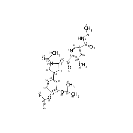 CCNC(=O)c1cnc(C(=O)O[C@@H]2C[C@@H](c3ccc(OC(F)F)c(OC(C)C)c3)CN2C(C)=O)c(C)c1